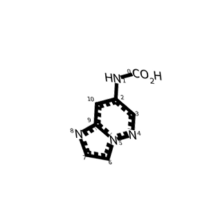 O=C(O)Nc1cnn2ccnc2c1